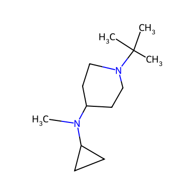 CN(C1CC1)C1CCN(C(C)(C)C)CC1